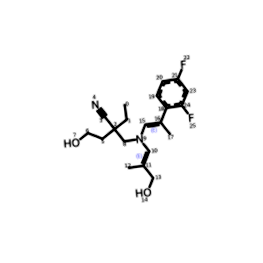 CCC(C#N)(CCO)CN(/C=C(\C)CO)/C=C(\C)c1ccc(F)cc1F